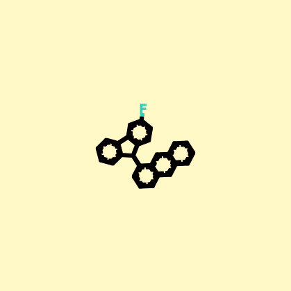 Fc1ccc2c(c1)-c1ccccc1C2c1cccc2cc3ccccc3cc12